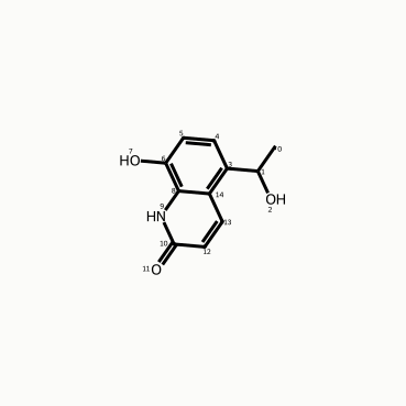 [CH2]C(O)c1ccc(O)c2[nH]c(=O)ccc12